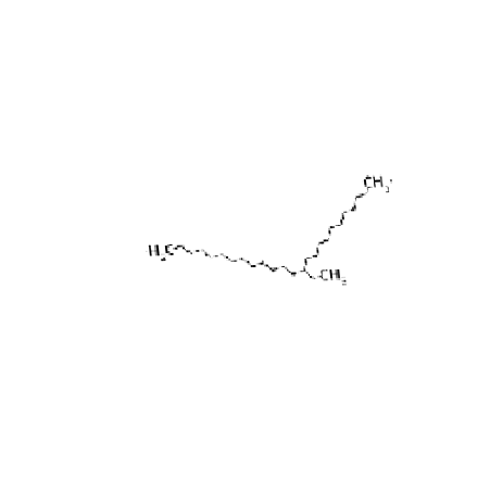 [CH2]CCCCCCCCCCCCC(CC)CCCCCCCCCC[CH2]